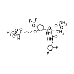 CC(OC(N)=O)c1oc(-c2ccc(OC(F)F)c(OCCCCC(=O)NS(C)(=O)=O)c2)nc1C(=O)NCc1ccc(F)cc1F